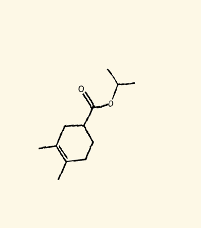 CC1=C(C)CC(C(=O)OC(C)C)CC1